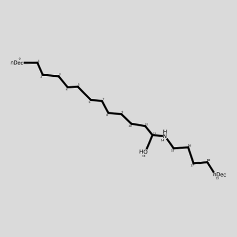 CCCCCCCCCCCCCCCCCCCCCC(O)NCCCCCCCCCCCCCC